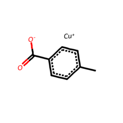 Cc1ccc(C(=O)[O-])cc1.[Cu+]